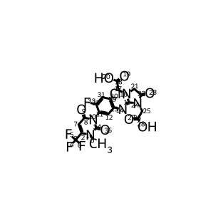 Cn1c(C(F)(F)F)cc(=O)n(-c2cc(/N=C3\N(CC(=O)O)CC(=O)N3CC(=O)O)c(Cl)cc2F)c1=O